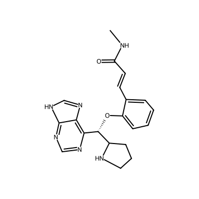 CNC(=O)C=Cc1ccccc1O[C@@H](c1ncnc2[nH]cnc12)C1CCCN1